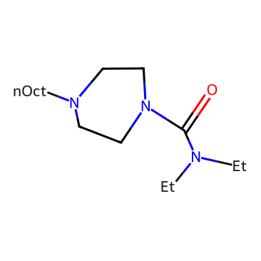 CCCCCCCCN1CCN(C(=O)N(CC)CC)CC1